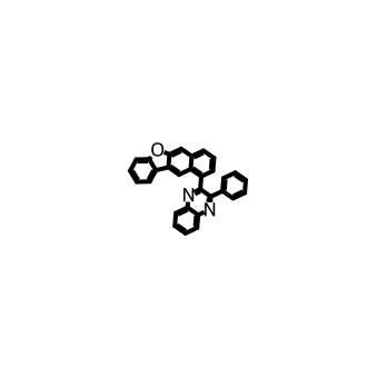 c1ccc(-c2nc3ccccc3nc2-c2cccc3cc4oc5ccccc5c4cc23)cc1